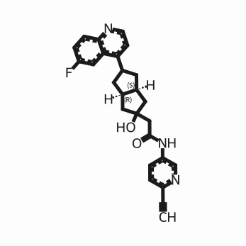 C#Cc1ccc(NC(=O)CC2(O)C[C@H]3CC(c4ccnc5ccc(F)cc45)C[C@H]3C2)cn1